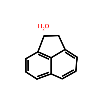 O.c1cc2c3c(cccc3c1)CC2